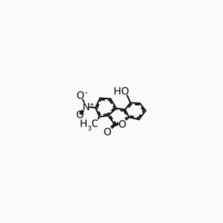 Cc1c([N+](=O)[O-])ccc2c1c(=O)oc1cccc(O)c12